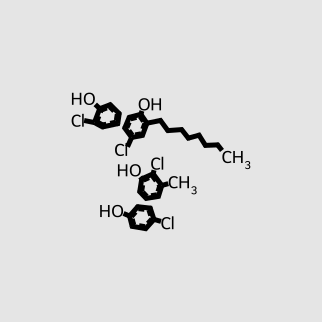 CCCCCCCCc1cc(Cl)ccc1O.Cc1cccc(O)c1Cl.Oc1ccc(Cl)cc1.Oc1ccccc1Cl